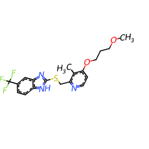 COCCCOc1ccnc(CSc2nc3cc(C(F)(F)F)ccc3[nH]2)c1C